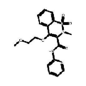 COCCOC1=C(C(=O)Nc2ccccn2)N(C)S(=O)(=O)c2ccccc21